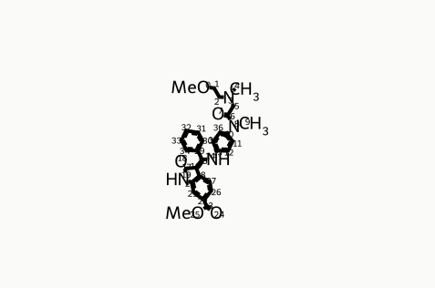 COCCN(C)CC(=O)N(C)c1ccc(NC(=C2C(=O)Nc3cc(C(=O)OC)ccc32)c2ccccc2)cc1